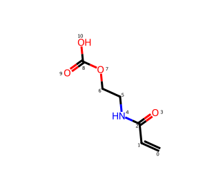 C=CC(=O)NCCOC(=O)O